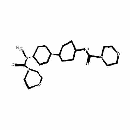 CN(C(=O)N1CCOCC1)[C@H]1CC[C@H]([C]2CCC(NC(=O)N3CCOCC3)CC2)CC1